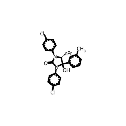 CCC[C@H]1N(c2ccc(Cl)cc2)C(=O)N(c2ccc(Cl)cc2)C1(O)c1cccc(C)c1